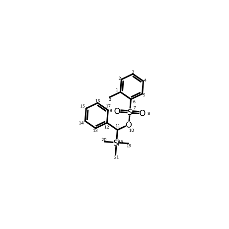 Cc1ccccc1S(=O)(=O)OC(c1ccccc1)[Si](C)(C)C